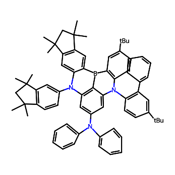 CC(C)(C)c1ccc2c(c1)B1c3cc4c(cc3N(c3ccc5c(c3)C(C)(C)CC5(C)C)c3cc(N(c5ccccc5)c5ccccc5)cc(c31)N2c1ccc(C(C)(C)C)cc1-c1ccccc1)C(C)(C)CC4(C)C